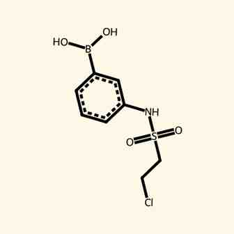 O=S(=O)(CCCl)Nc1cccc(B(O)O)c1